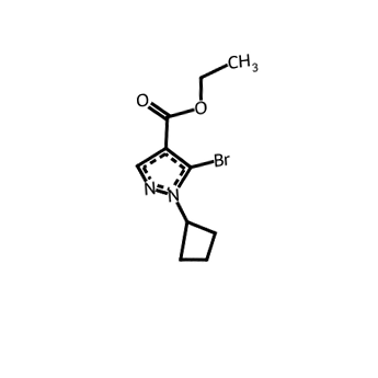 CCOC(=O)c1cnn(C2CCC2)c1Br